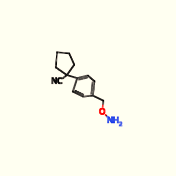 N#CC1(c2ccc(CON)cc2)CCCC1